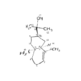 CC1=CCC[C@@]2(C)CC[C@@H](C(C)(C)O)C[C@@H]12